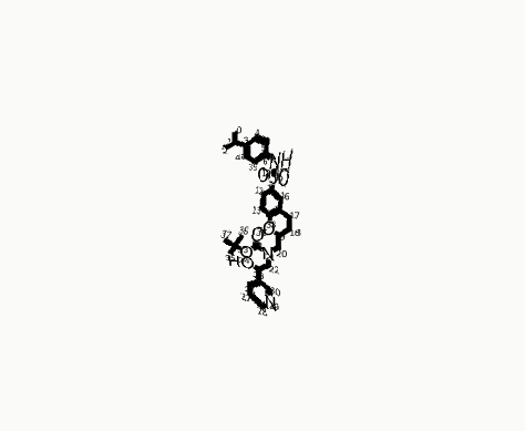 CC(C)c1ccc(NS(=O)(=O)c2ccc3c(c2)CCC(CN(CC(O)c2cccnc2)C(=O)OC(C)(C)C)O3)cc1